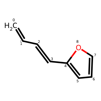 C=[C]/C=C/c1ccco1